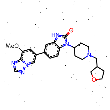 COc1cc(-c2ccc3c(c2)[nH]c(=O)n3C2CCN(CC3CCOC3)CC2)cn2ncnc12